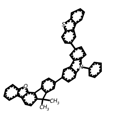 CC1(C)c2cc(-c3ccc4c(c3)c3cc(-c5ccc6sc7ccccc7c6c5)ccc3n4-c3ccccc3)ccc2-c2c1ccc1c2oc2ccccc21